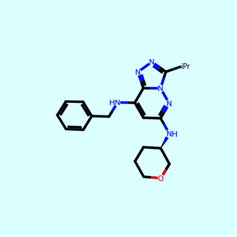 CC(C)c1nnc2c(NCc3ccccc3)cc(N[C@@H]3CCCOC3)nn12